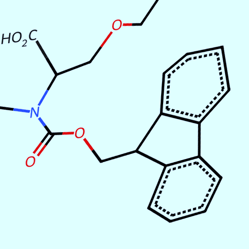 C=CCOCC(C(=O)O)N(C)C(=O)OCC1c2ccccc2-c2ccccc21